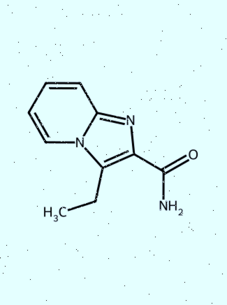 CCc1c(C(N)=O)nc2ccccn12